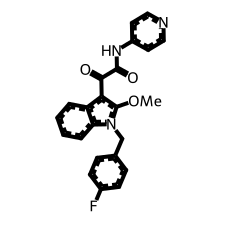 COc1c(C(=O)C(=O)Nc2ccncc2)c2ccccc2n1Cc1ccc(F)cc1